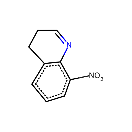 O=[N+]([O-])c1cccc2c1N=CCC2